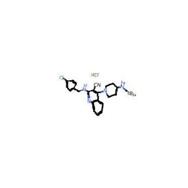 CC(C)(C)NC1CCN(c2c(C#N)c(NCc3ccc(Cl)cc3)nc3ccccc23)CC1.Cl